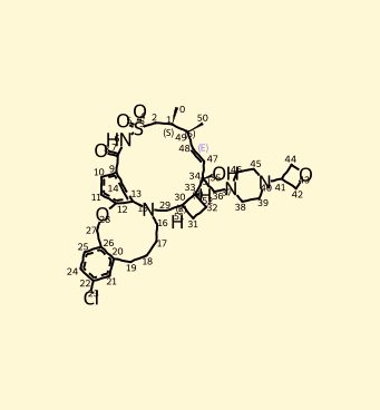 C[C@@H]1CS(=O)(=O)NC(=O)c2ccc3c(c2)N(CCCCc2cc(Cl)ccc2CO3)C[C@@H]2CC[C@H]2[C@@](O)(CN2CCN(C3COC3)CC2)/C=C/[C@@H]1C